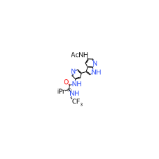 CC(=O)Nc1cnc2[nH]cc(-c3cncc(NC(=O)[C@@H](NCC(F)(F)F)C(C)C)c3)c2c1